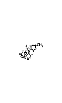 C=C(c1ccc(C)cc1)C1CCCC12OCCOO2